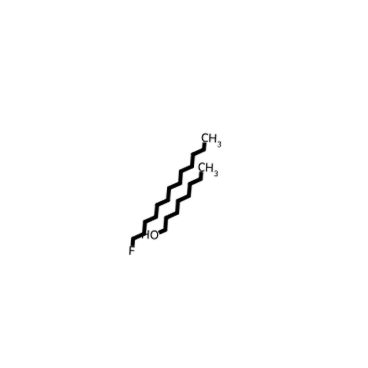 CCCCCCCCCCCCCF.CCCCCCCCO